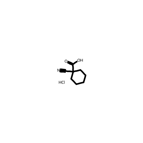 Cl.N#CC1(C(=O)O)CCCCC1